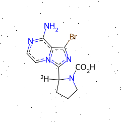 [2H]C1(c2nc(Br)c3c(N)nccn23)CCCN1C(=O)O